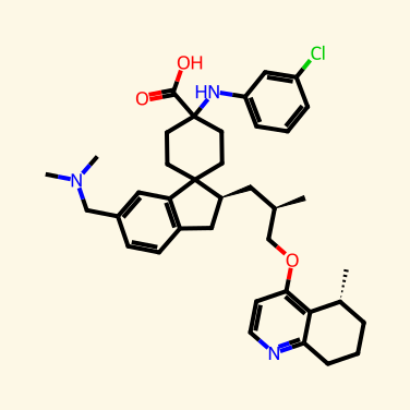 C[C@@H](COc1ccnc2c1[C@H](C)CCC2)C[C@H]1Cc2ccc(CN(C)C)cc2C12CCC(Nc1cccc(Cl)c1)(C(=O)O)CC2